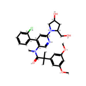 COc1cc(OC)cc(C(C)(C)C(=O)N(C)c2cnc(N3CC(O)CC3CO)cc2-c2ccccc2Cl)c1